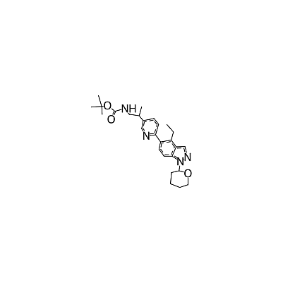 CCc1c(-c2ccc(C(C)CNC(=O)OC(C)(C)C)cn2)ccc2c1cnn2C1CCCCO1